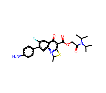 CC(C)N(C(=O)COC(=O)c1c2n(c3cc(-c4ccc(N)cc4)c(F)cc3c1=O)C(C)S2)C(C)C